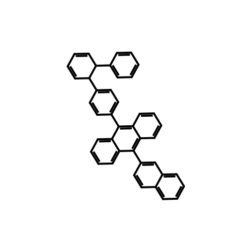 C1=CC(c2ccccc2)C(c2ccc(-c3c4ccccc4c(-c4ccc5ccccc5c4)c4ccccc34)cc2)C=C1